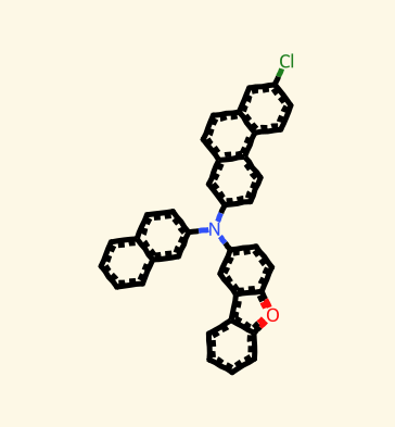 Clc1ccc2c(ccc3cc(N(c4ccc5ccccc5c4)c4ccc5oc6ccccc6c5c4)ccc32)c1